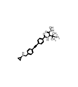 CC(C)(N)C(NC(=O)c1ccc(C#Cc2ccc(CNC3CC3)cc2)cc1)C(=O)NO